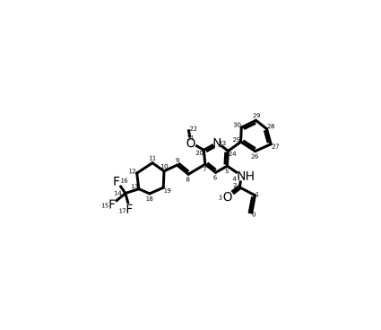 C=CC(=O)Nc1cc(C=CC2CCC(C(F)(F)F)CC2)c(OC)nc1-c1ccccc1